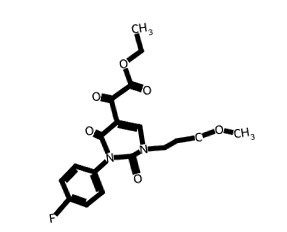 CCOC(=O)C(=O)c1cn(CCCOC)c(=O)n(-c2ccc(F)cc2)c1=O